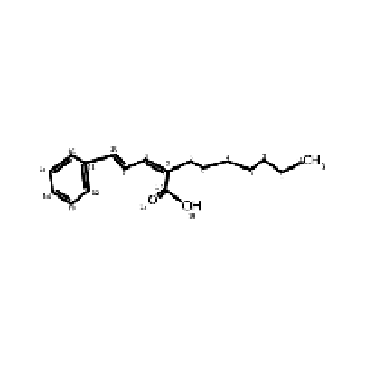 CCCCCCCC(=CC=Cc1ccccc1)C(=O)O